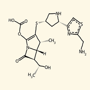 C[C@@H](O)[C@H]1C(=O)N2C(OC(=O)O)=C(S[C@@H]3CN[C@H](c4csc(CN)n4)C3)[C@H](C)[C@H]12